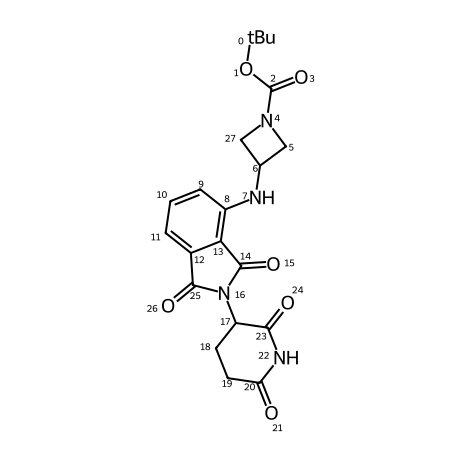 CC(C)(C)OC(=O)N1CC(Nc2cccc3c2C(=O)N(C2CCC(=O)NC2=O)C3=O)C1